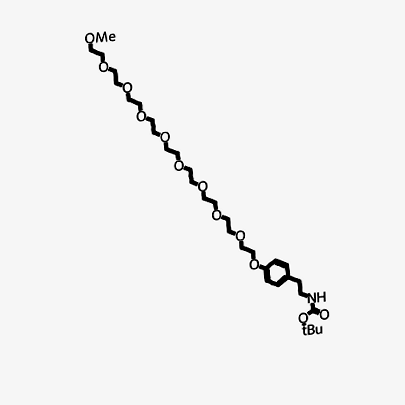 COCCOCCOCCOCCOCCOCCOCCOCCOCCOc1ccc(CCNC(=O)OC(C)(C)C)cc1